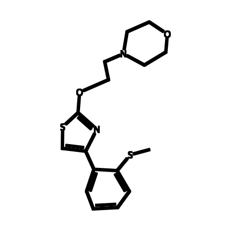 CSc1ccccc1-c1csc(OCCN2CCOCC2)n1